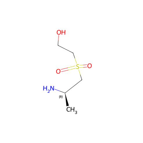 C[C@@H](N)CS(=O)(=O)CCO